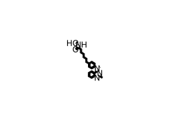 Cc1nc(N(C)c2ccc(CCCCCCC(=O)NO)cc2)c2ccccc2n1